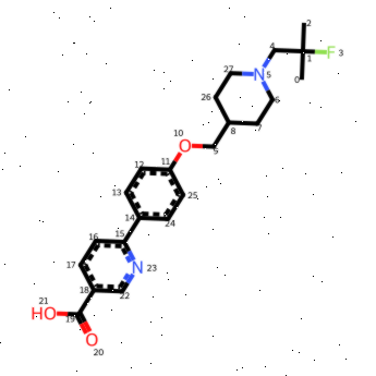 CC(C)(F)CN1CCC(COc2ccc(-c3ccc(C(=O)O)cn3)cc2)CC1